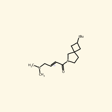 CN(C)C/C=C/C(=O)N1CCC2(CC(C(C)(C)C)C2)C1